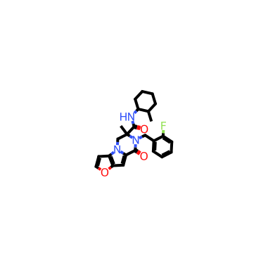 CC1CCCCC1NC(=O)C1(C)Cn2c(cc3occc32)C(=O)N1Cc1ccccc1F